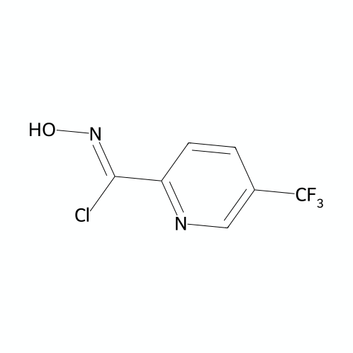 O/N=C(\Cl)c1ccc(C(F)(F)F)cn1